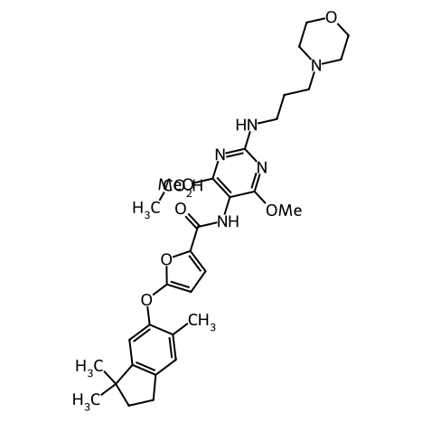 CC(=O)O.COc1nc(NCCCN2CCOCC2)nc(OC)c1NC(=O)c1ccc(Oc2cc3c(cc2C)CCC3(C)C)o1